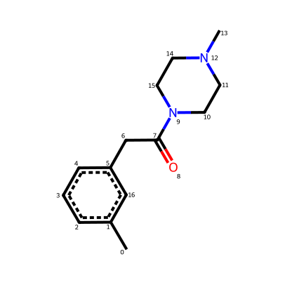 Cc1cccc(CC(=O)N2CCN(C)CC2)c1